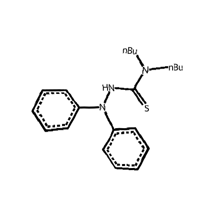 CCCCN(CCCC)C(=S)NN(c1ccccc1)c1ccccc1